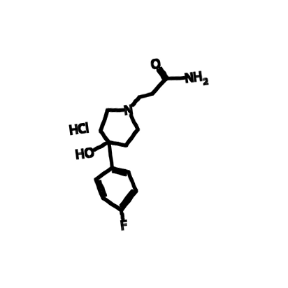 Cl.NC(=O)CCN1CCC(O)(c2ccc(F)cc2)CC1